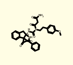 COc1ccc(CCN(C(=O)CC(N)=O)C(=O)N[C@@]2(NCc3ccccc3)Cc3ccccc3C23C(=O)C3=O)cc1